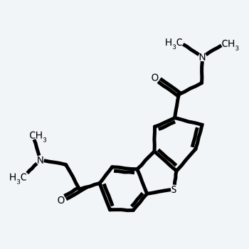 CN(C)CC(=O)c1ccc2sc3ccc(C(=O)CN(C)C)cc3c2c1